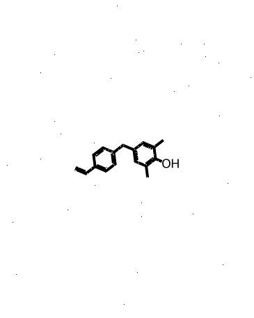 C=Cc1ccc(Cc2cc(C)c(O)c(C)c2)cc1